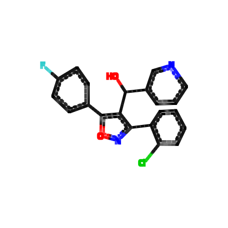 OC(c1cccnc1)c1c(-c2ccccc2Cl)noc1-c1ccc(F)cc1